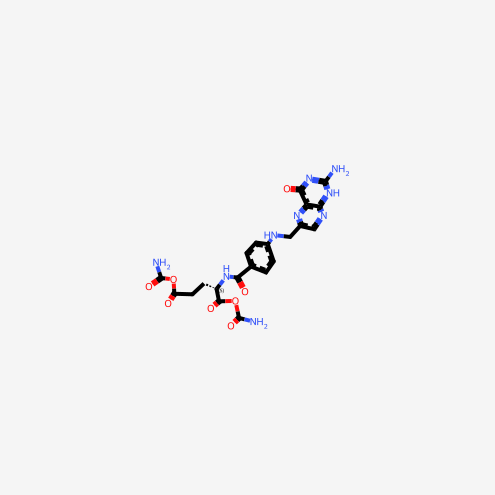 NC(=O)OC(=O)CC[C@H](NC(=O)c1ccc(NCc2cnc3[nH]c(N)nc(=O)c3n2)cc1)C(=O)OC(N)=O